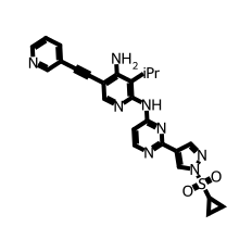 CC(C)c1c(Nc2ccnc(-c3cnn(S(=O)(=O)C4CC4)c3)n2)ncc(C#Cc2cccnc2)c1N